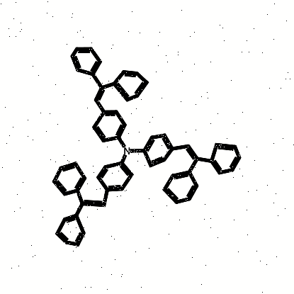 C(=C(c1ccccc1)c1ccccc1)c1ccc(N(c2ccc(C=C(c3ccccc3)c3ccccc3)cc2)c2ccc(C=C(c3ccccc3)c3ccccc3)cc2)cc1